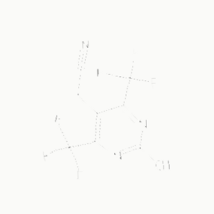 Cc1nc(C(F)(F)F)c(CC#N)c(C(F)(F)F)n1